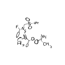 CC(=N)OOC(=O)N(C)SN(CS(=O)(=O)C(C)C)C(=O)F